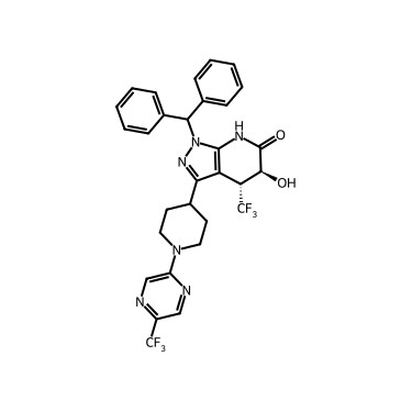 O=C1Nc2c(c(C3CCN(c4cnc(C(F)(F)F)cn4)CC3)nn2C(c2ccccc2)c2ccccc2)[C@@H](C(F)(F)F)[C@@H]1O